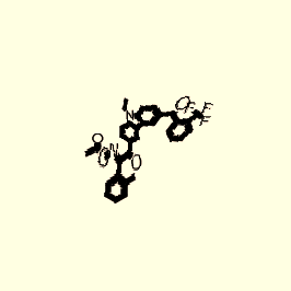 CCn1c2ccc(C(=O)C(=NOC(C)=O)c3ccccc3C)cc2c2cc(C(=O)c3ccccc3C(F)(F)F)ccc21